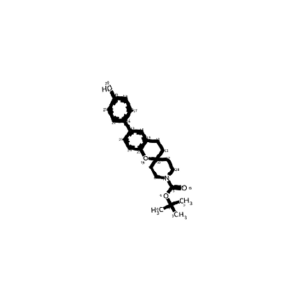 CC(C)(C)OC(=O)N1CCC2(CCc3cc(-c4ccc(O)cc4)ccc3O2)CC1